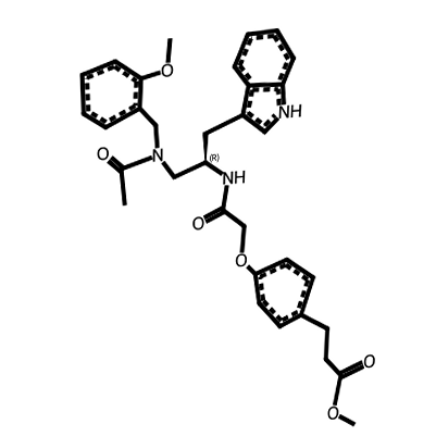 COC(=O)CCc1ccc(OCC(=O)N[C@H](Cc2c[nH]c3ccccc23)CN(Cc2ccccc2OC)C(C)=O)cc1